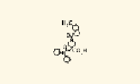 Cc1ccc2c(c1)N(C(=O)N1CCC(CC(=O)N(c3ccccc3)c3ccccc3)(C(=O)O)CC1)CC2